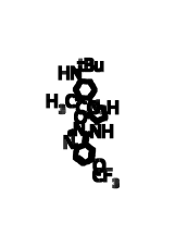 CC(C)(C)N[C@@H]1CC[C@H](N2CC[C@H](Nc3ncnc4ccc(OC(F)(F)F)cc34)C2=O)[C@](C)(C(=O)O)C1